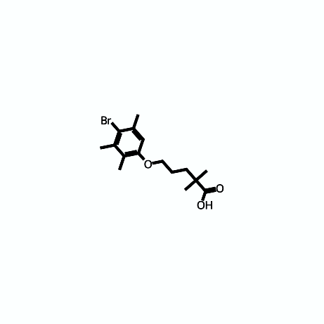 Cc1cc(OCCCC(C)(C)C(=O)O)c(C)c(C)c1Br